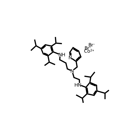 CC(C)c1cc(C(C)C)c(NCCCN(CCNc2c(C(C)C)cc(C(C)C)cc2C(C)C)Cc2ccccn2)c(C(C)C)c1.[Br-].[Br-].[Co+2]